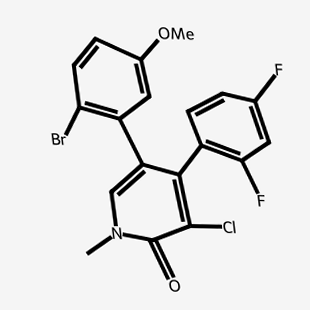 COc1ccc(Br)c(-c2cn(C)c(=O)c(Cl)c2-c2ccc(F)cc2F)c1